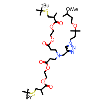 COC(C)CCOC(C)(C)CCn1cc(CN(CCC(=O)OCCOC(=O)C(C)CSC(C)(C)C(C)C)CCC(=O)OCCOC(=O)C(C)CSC(C)(C)C(C)(C)C)nn1